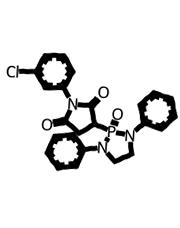 O=C1CC(P2(=O)N(c3ccccc3)CCN2c2ccccc2)C(=O)N1c1cccc(Cl)c1